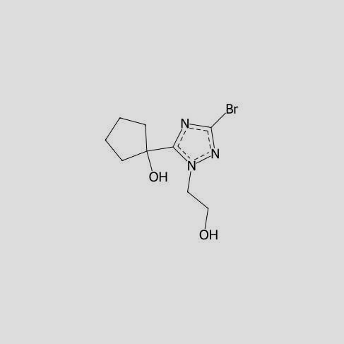 OCCn1nc(Br)nc1C1(O)CCCC1